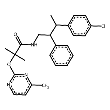 CC(c1ccc(Cl)cc1)C(CNC(=O)C(C)(C)Oc1nccc(C(F)(F)F)n1)c1ccccc1